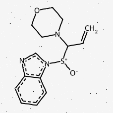 C=CC(N1CCOCC1)[S+]([O-])n1cnc2ccccc21